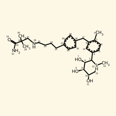 Cc1ccc(C2[C@H](O)[C@H](O)[C@H](O)C[SH]2C)cc1Cc1ccc(CCCCNCC(C)(C)C(N)=O)cc1